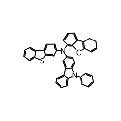 C1=Cc2oc3c(N(c4ccc5c(c4)sc4ccccc45)c4ccc5c(c4)c4ccccc4n5-c4ccccc4)cccc3c2CC1